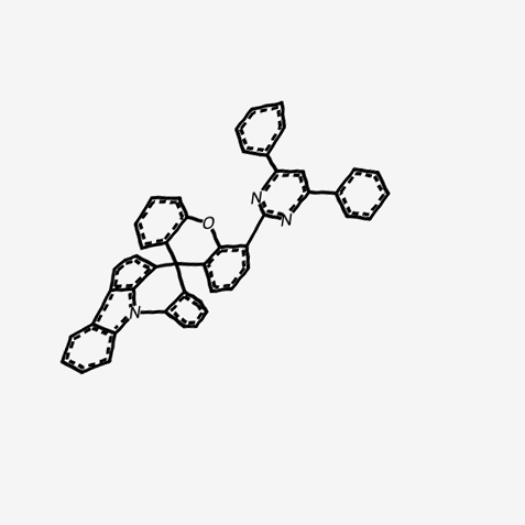 c1ccc(-c2cc(-c3ccccc3)nc(-c3cccc4c3Oc3ccccc3C43c4ccccc4-n4c5ccccc5c5cccc3c54)n2)cc1